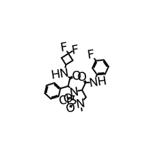 CN1CC(C(=O)Nc2cccc(F)c2)N(C(C(=O)NC2CC(F)(F)C2)c2ccccc2Cl)S1(=O)=O